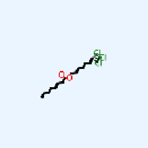 CCCCCCCC(=O)OCCCCCCC[Si](Cl)(Cl)Cl